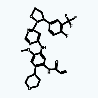 C=CC(=O)Nc1cc(Nc2cc(N3OCCC3c3ccc(F)c(C(F)(F)F)c3)ncn2)c(OC)cc1N1CCOCC1